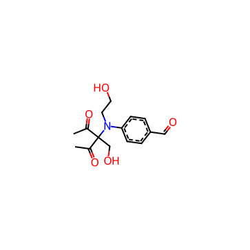 CC(=O)C(CO)(C(C)=O)N(CCO)c1ccc(C=O)cc1